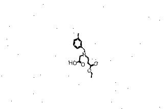 CCOC(=O)CCN(CC(=O)O)Cc1cccc(C)c1